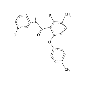 Cc1ccc(Oc2ccc(C(F)(F)F)cc2)c(C(=O)Nc2ccc[n+]([O-])c2)c1F